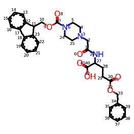 O=C(CN1CCN(C(=O)OCC2c3ccccc3-c3ccccc32)CC1)NC(CCC(=O)OCc1ccccc1)C(=O)O